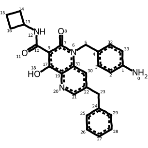 Nc1ccc(Cn2c(=O)c(C(=O)NC3CCC3)c(O)c3ncc(Cc4ccccc4)cc32)cc1